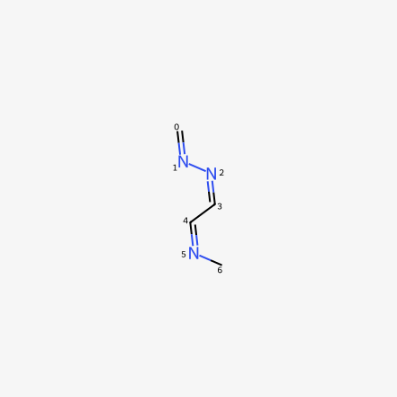 C=N/N=C\C=N/C